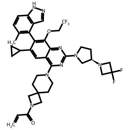 C=CC(=O)N1CC2(CCN(c3nc(N4CC[C@@H](N5CC(F)(F)C5)C4)nc4c(OCC(F)(F)F)c(-c5c(C)ccc6[nH]ncc56)c(C5CC5)cc34)CC2)C1